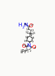 CC(C)C1CC(=O)N(c2ccc(C(C)(C)CCC(N)=O)cc2)C1=O